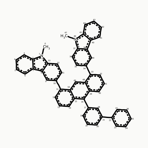 Cn1c2ccccc2c2cc(-c3cccc4c(-c5cccc(-c6ccccc6)c5)c5cccc(-c6ccc7c(c6)c6ccccc6n7C)c5cc34)ccc21